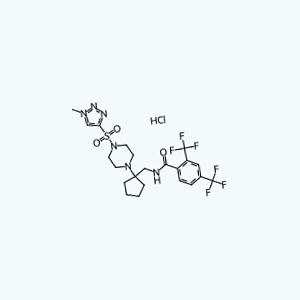 Cl.Cn1cc(S(=O)(=O)N2CCN(C3(CNC(=O)c4ccc(C(F)(F)F)cc4C(F)(F)F)CCCC3)CC2)nn1